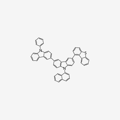 c1ccc(-n2c3ccccc3c3cc(-c4ccc5c(c4)c4cc(-c6cccc7sc8ccccc8c67)ccc4n5-c4cccc5ccccc45)ccc32)cc1